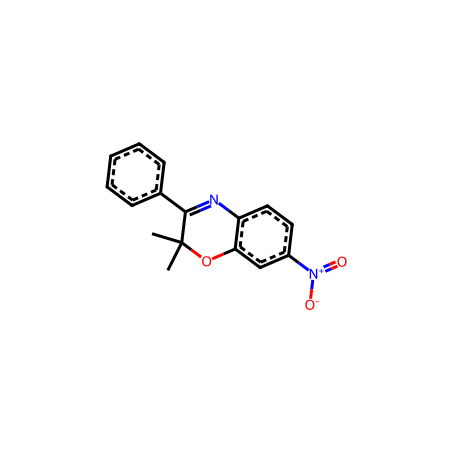 CC1(C)Oc2cc([N+](=O)[O-])ccc2N=C1c1ccccc1